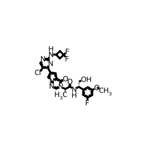 COc1cc(F)cc([C@@H](CO)NC(=O)[C@H](C)n2cnn3cc(-c4nc(NC5CC(F)(F)C5)ncc4Cl)cc3c2=O)c1